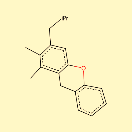 Cc1c(CC(C)C)cc2c(c1C)Cc1ccccc1O2